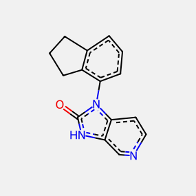 O=c1[nH]c2cnccc2n1-c1cccc2c1CCC2